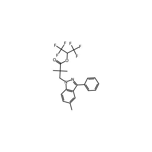 Cc1ccc2c(c1)c(-c1ccccc1)nn2CC(C)(C)C(=O)OC(C(F)(F)F)C(F)(F)F